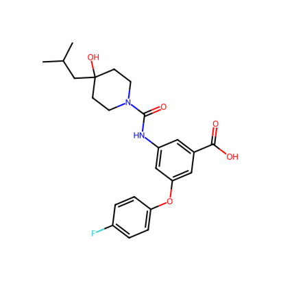 CC(C)CC1(O)CCN(C(=O)Nc2cc(Oc3ccc(F)cc3)cc(C(=O)O)c2)CC1